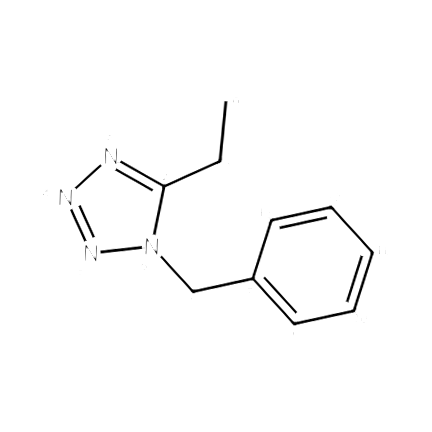 CCc1nnnn1Cc1ccccc1